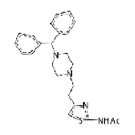 CC(=O)Nc1nc(CCN2CCN(C(c3ccccc3)c3ccccc3)CC2)cs1